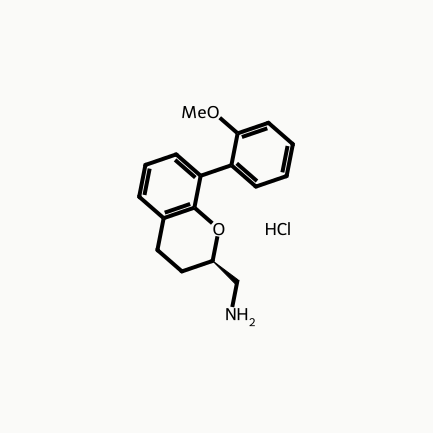 COc1ccccc1-c1cccc2c1O[C@@H](CN)CC2.Cl